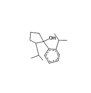 CC(C)c1ccccc1C1(O)CCCC1C(C)C